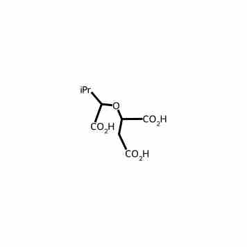 CC(C)C(OC(CC(=O)O)C(=O)O)C(=O)O